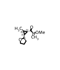 CON(C)C(=O)[C@H]1[C@H](C)[C@@H]1[C@H]1CCCO1